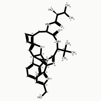 CC(C)[C@H](O)C(=O)NC1Cc2ccc3c(c2)[C@@]2(c4ccccc4NC2O3)c2oc(nc2-c2nc(CO)co2)C(C(C)(C)C)NC1=O